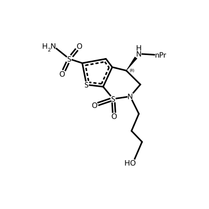 CCCN[C@H]1CN(CCCO)S(=O)(=O)c2sc(S(N)(=O)=O)cc21